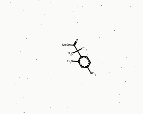 COC(=O)C(c1ccc([N+](=O)[O-])cc1[N+](=O)[O-])(C(F)(F)F)C(F)(F)F